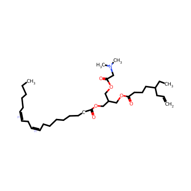 C=CCC(CC)CCCC(=O)OCC(COC(=O)CCCCCCC/C=C\C/C=C\CCCCC)COC(=O)CN(C)C